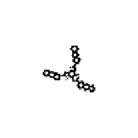 c1ccc2cc3cc(-c4cc5c(s4)c4c(c6cc(-c7ccc8cc9ccccc9cc8c7)sc65)SC(c5ccc6cc7ccccc7cc6c5)C4)ccc3cc2c1